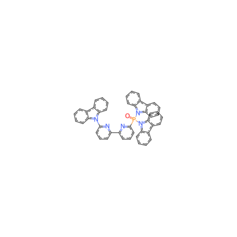 O=P(c1cccc(-c2cccc(-n3c4ccccc4c4ccccc43)n2)n1)(n1c2ccccc2c2ccccc21)n1c2ccccc2c2ccccc21